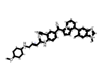 COC1CCC(NC/C=C/C(=O)Nc2ccc(C(=O)c3ccc4c(-c5cc6ncn(C)c6cc5C)cccn34)cc2C#N)CC1